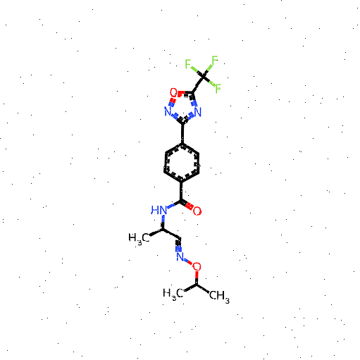 CC(C=NOC(C)C)NC(=O)c1ccc(-c2noc(C(F)(F)F)n2)cc1